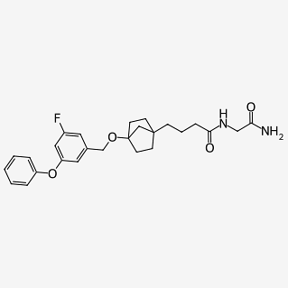 NC(=O)CNC(=O)CCCC12CCC(OCc3cc(F)cc(Oc4ccccc4)c3)(CC1)C2